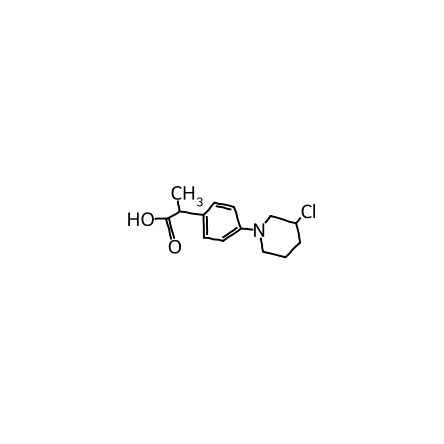 CC(C(=O)O)c1ccc(N2CCCC(Cl)C2)cc1